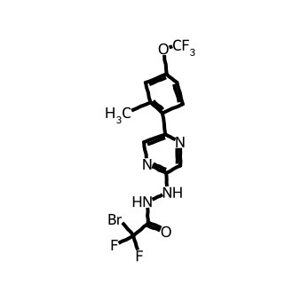 Cc1cc(OC(F)(F)F)ccc1-c1cnc(NNC(=O)C(F)(F)Br)cn1